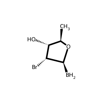 B[C@@H]1O[C@H](C)[C@@H](O)[C@H]1Br